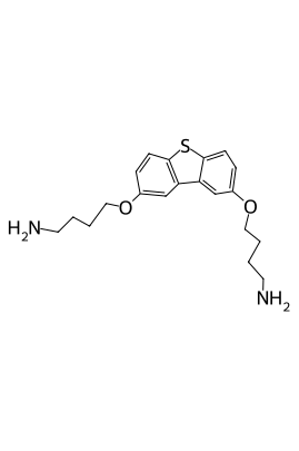 NCCCCOc1ccc2sc3ccc(OCCCCN)cc3c2c1